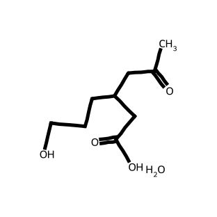 CC(=O)CC(CCCO)CC(=O)O.O